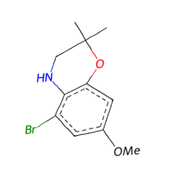 COc1cc(Br)c2c(c1)OC(C)(C)CN2